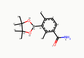 Cc1ccc(C(N)=O)c(C)c1B1OC(C)(C)C(C)(C)O1